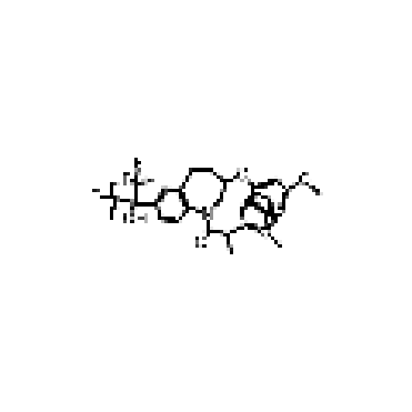 COc1cc(OC)cc(OC2CCc3cc(C(O)(C(F)(F)F)C(F)(F)F)ccc3N(C(=O)C(C)c3ccccc3)C2)c1